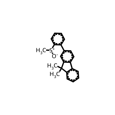 C[S+]([O-])c1ccccc1-c1ccc2c(c1)C(C)(C)c1ccccc1-2